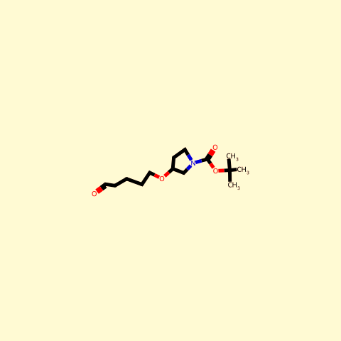 CC(C)(C)OC(=O)N1CCC(OCCCCC=O)C1